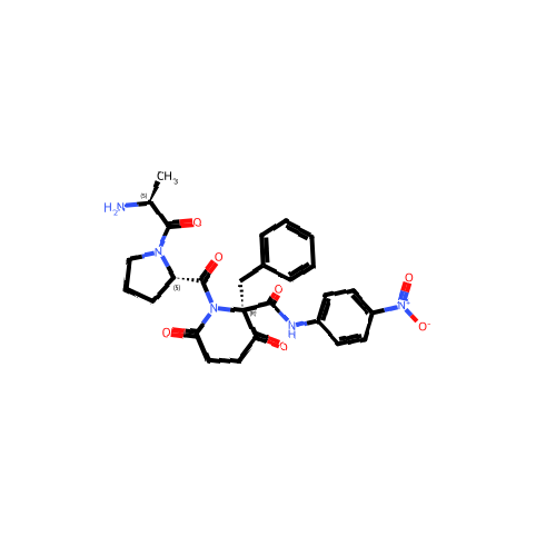 C[C@H](N)C(=O)N1CCC[C@H]1C(=O)N1C(=O)CCC(=O)[C@]1(Cc1ccccc1)C(=O)Nc1ccc([N+](=O)[O-])cc1